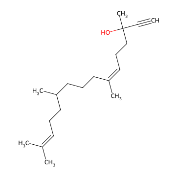 C#CC(C)(O)CCC=C(C)CCCC(C)CCC=C(C)C